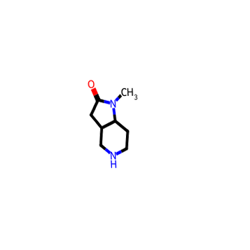 CN1C(=O)CC2CNCCC21